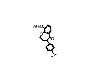 COc1cccc2c1OCCC(c1ccc(N(C)C)cc1)C2=O